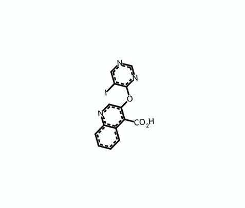 O=C(O)c1c(Oc2ncncc2I)cnc2ccccc12